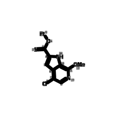 CCOC(=S)c1cc2c(Cl)cnc(OC)c2[nH]1